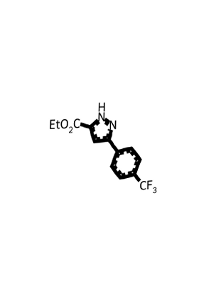 CCOC(=O)c1cc(-c2ccc(C(F)(F)F)cc2)n[nH]1